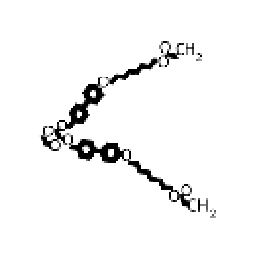 C=CC(=O)OCCCCCCCCOc1ccc(-c2ccc(CO[C@H]3OCCO[C@@H]3OCc3ccc(-c4ccc(OCCCCCCCCOC(=O)C=C)cc4)cc3)cc2)cc1